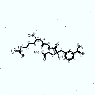 COC(=O)CC[C@@](N)(Cc1cccc(C(=N)N)c1)C(=O)NCC(=O)N[C@H](C=O)CCCNC(=N)N